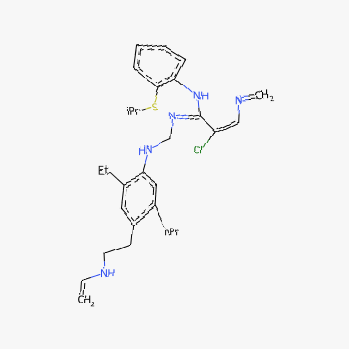 C=CNCCc1cc(CC)c(NC/N=C(Nc2ccccc2SC(C)C)\C(Cl)=C/N=C)cc1CCC